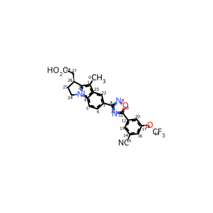 Cc1c2n(c3ccc(-c4noc(-c5cc(C#N)cc(OC(F)(F)F)c5)n4)cc13)CC[C@H]2CC(=O)O